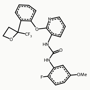 COc1ccc(F)c(NC(=O)Nc2cccnc2Oc2ccccc2C2(C(F)(F)F)CCO2)c1